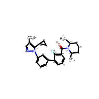 CCOC(=O)c1cnn(-c2cccc(-c3cccc(C(=O)N4C(C)CCCC4C)c3F)c2)c1C1CC1